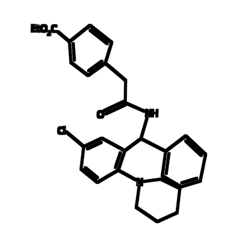 CCOC(=O)c1ccc(CC(=O)NC(c2ccccc2)c2cc(Cl)ccc2N2CCCCC2)cc1